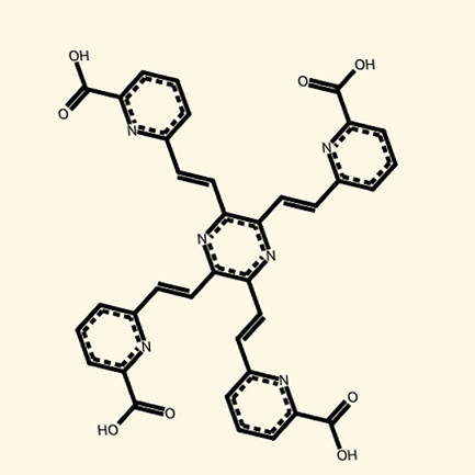 O=C(O)c1cccc(C=Cc2nc(C=Cc3cccc(C(=O)O)n3)c(C=Cc3cccc(C(=O)O)n3)nc2C=Cc2cccc(C(=O)O)n2)n1